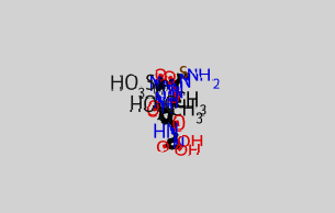 CC(C)(ON=C(C(=O)N[C@@H]1C(=O)N(S(=O)(=O)O)[C@@H]1CNC(=O)c1ccc(C(=O)NCc2cc(=O)cc(O)n2O)cc1)c1csc(N)n1)C(=O)O